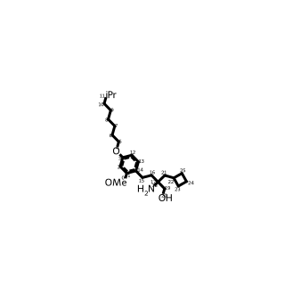 COc1cc(OCCCCCCC(C)C)ccc1CCC(N)(CO)CC1CCC1